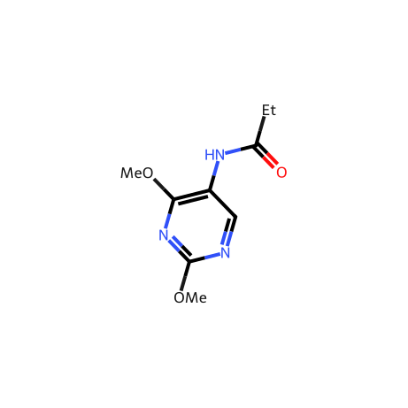 CCC(=O)Nc1cnc(OC)nc1OC